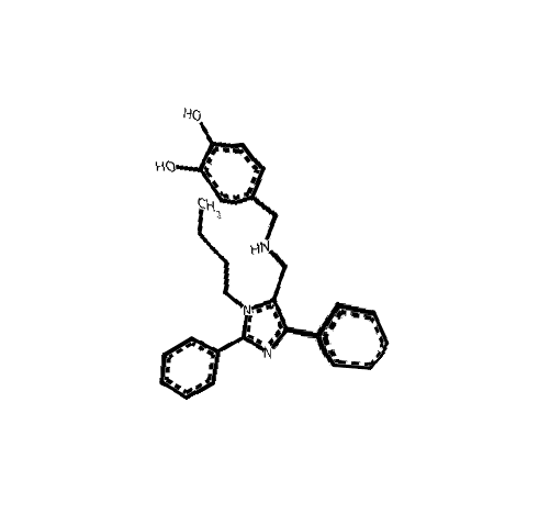 CCCCn1c(-c2ccccc2)nc(-c2ccccc2)c1CNCc1ccc(O)c(O)c1